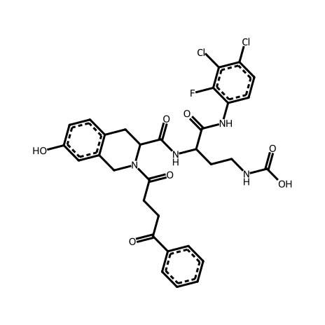 O=C(O)NCCC(NC(=O)C1Cc2ccc(O)cc2CN1C(=O)CCC(=O)c1ccccc1)C(=O)Nc1ccc(Cl)c(Cl)c1F